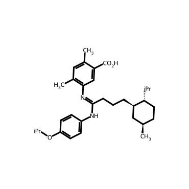 Cc1cc(C)c(C(=O)O)cc1/N=C(\CCC[C@@H]1C[C@H](C)CC[C@H]1C(C)C)Nc1ccc(OC(C)C)cc1